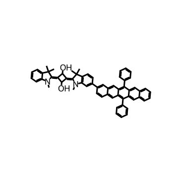 CN1C(=C2C(O)C(=C3N(C)c4cc(-c5ccc6cc7c(-c8ccccc8)c8cc9ccccc9cc8c(-c8ccccc8)c7cc6c5)ccc4C3(C)C)C2O)C(C)(C)c2ccccc21